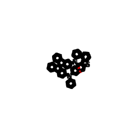 c1ccc(N(c2ccccc2)c2ccc3c(c2)C2(c4ccccc4-c4cc(N(c5ccccc5)c5cccc6sc7ccccc7c56)ccc42)c2ccccc2-3)cc1